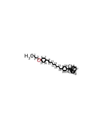 CCCCOc1ccc(/C=C/CCCCCCc2ccc(C(C)(C)C34CC5CC(CC(C5)C3)C4)cc2)cc1